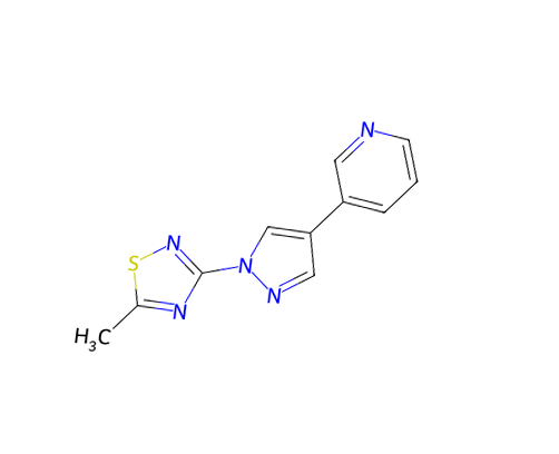 Cc1nc(-n2cc(-c3cccnc3)cn2)ns1